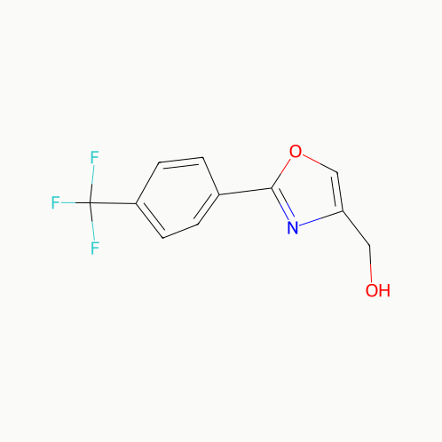 OCc1coc(-c2ccc(C(F)(F)F)cc2)n1